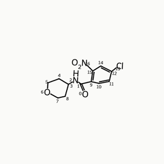 O=C(NC1CCOCC1)c1ccc(Cl)cc1[N+](=O)[O-]